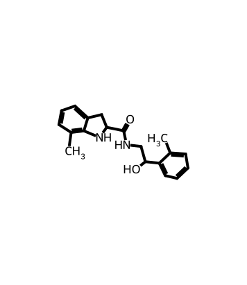 Cc1ccccc1C(O)CNC(=O)C1Cc2cccc(C)c2N1